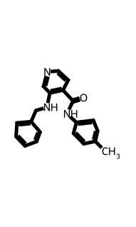 Cc1ccc(NC(=O)c2ccncc2NCc2ccccc2)cc1